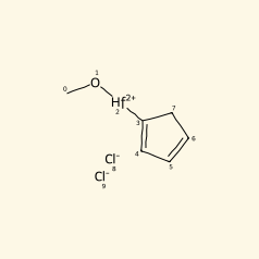 C[O][Hf+2][C]1=CC=CC1.[Cl-].[Cl-]